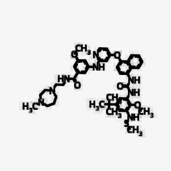 COc1cc(Nc2cc(Oc3ccc(NC(=O)Nc4cc(C(C)(C)C)cc(NSC)c4OC)c4ccccc34)ccn2)cc(C(=O)NCCN2CCCN(C)CC2)c1